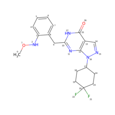 CONc1ccccc1Cc1nc2c(cnn2C2CCC(F)(F)CC2)c(=O)[nH]1